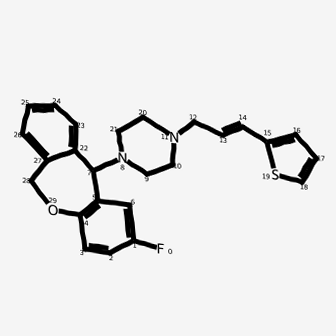 Fc1ccc2c(c1)C(N1CCN(C/C=C/c3cccs3)CC1)c1ccccc1CO2